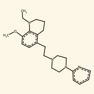 CCN1CCCc2c(CCN3CCN(c4ccccn4)CC3)ccc(OC)c21